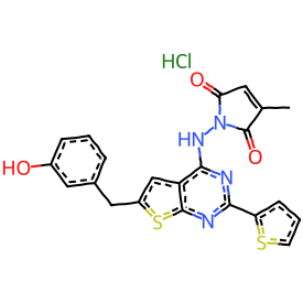 CC1=CC(=O)N(Nc2nc(-c3cccs3)nc3sc(Cc4cccc(O)c4)cc23)C1=O.Cl